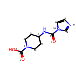 O=C(O)N1CCC(NC(=O)n2ccnc2)CC1